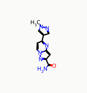 Cn1cc(-c2ccn3nc(C(N)=O)cc3n2)cn1